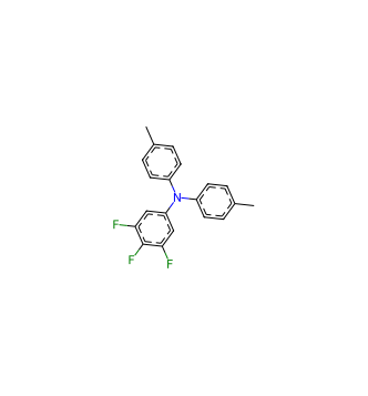 Cc1ccc(N(c2ccc(C)cc2)c2cc(F)c(F)c(F)c2)cc1